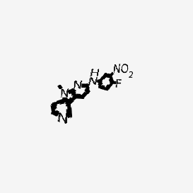 Cn1c2ccncc2c2ccc(Nc3ccc(F)c([N+](=O)[O-])c3)nc21